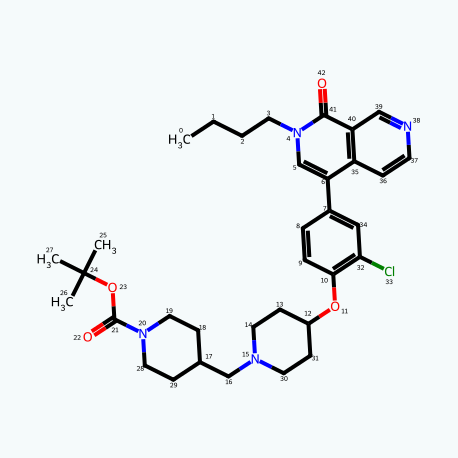 CCCCn1cc(-c2ccc(OC3CCN(CC4CCN(C(=O)OC(C)(C)C)CC4)CC3)c(Cl)c2)c2ccncc2c1=O